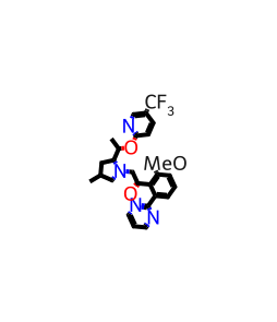 COc1cccc(-c2ncccn2)c1C(=O)CN1CC(C)CC1C(C)Oc1ccc(C(F)(F)F)cn1